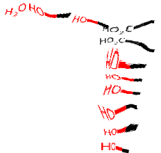 CC(=O)O.CC(=O)O.CO.CO.CO.CO.CO.CO.CO.CO.O